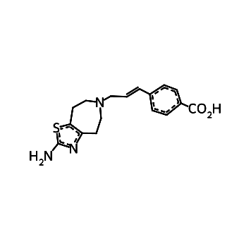 Nc1nc2c(s1)CCN(C/C=C/c1ccc(C(=O)O)cc1)CC2